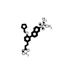 COC(=O)CCc1ccc(OCC2CCCC2)c(-c2ccc3cc(S(=O)(=O)N(C)C)ccc3c2)c1